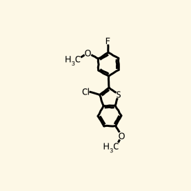 COc1ccc2c(Cl)c(-c3ccc(F)c(OC)c3)sc2c1